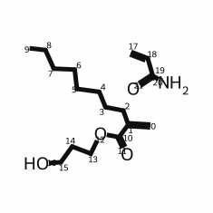 C=C(CCCCCCCC)C(=O)OCCCO.C=CC(N)=O